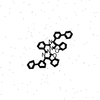 c1ccc(-c2cccc(-c3nc(-c4ccccc4-c4nc(-c5cccc(-c6ccccc6)c5)c5c(n4)oc4ccccc45)nc4oc5ccccc5c34)c2)cc1